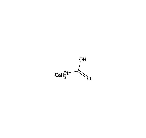 [CH2]CC(=O)O.[CaH2]